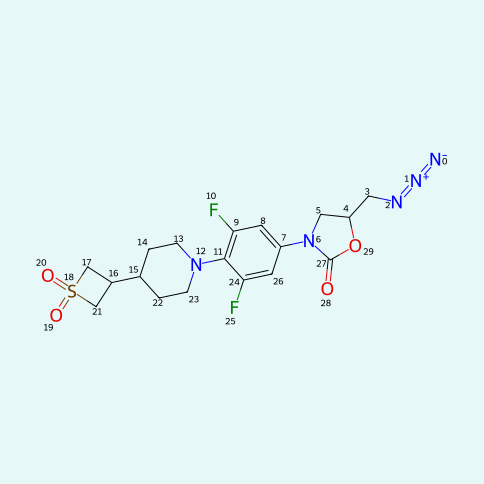 [N-]=[N+]=NCC1CN(c2cc(F)c(N3CCC(C4CS(=O)(=O)C4)CC3)c(F)c2)C(=O)O1